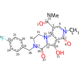 CNC(=O)c1cn(C)c(=O)c2c(O)c3n(c12)CCN(Cc1ccc(F)cc1)C3=O